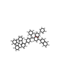 c1ccc(-c2cccc(-c3ccccc3N(c3ccc(-c4ccc5ccccc5c4)cc3)c3ccc(-c4cccc5c4-c4ccccc4C5(c4ccccc4)c4ccccc4)cc3)c2)cc1